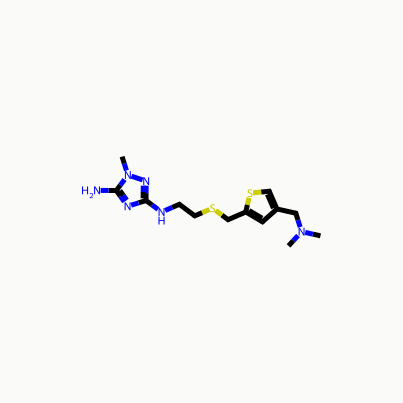 CN(C)Cc1csc(CSCCNc2nc(N)n(C)n2)c1